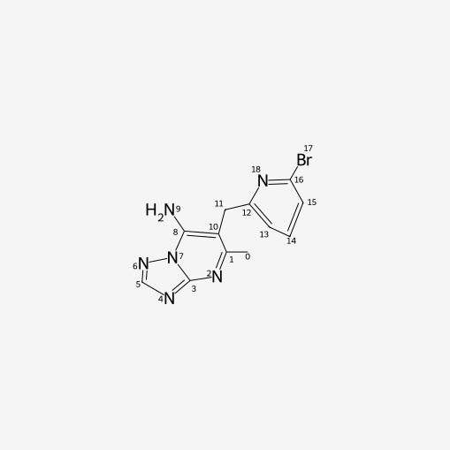 Cc1nc2ncnn2c(N)c1Cc1cccc(Br)n1